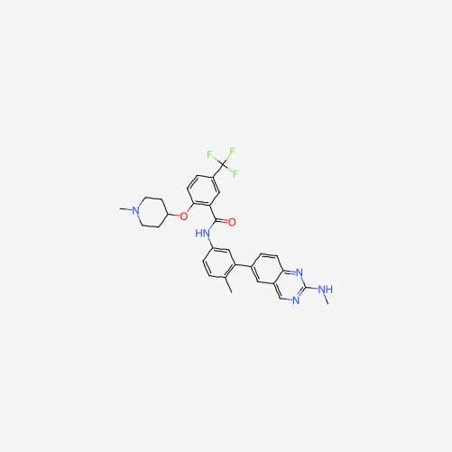 CNc1ncc2cc(-c3cc(NC(=O)c4cc(C(F)(F)F)ccc4OC4CCN(C)CC4)ccc3C)ccc2n1